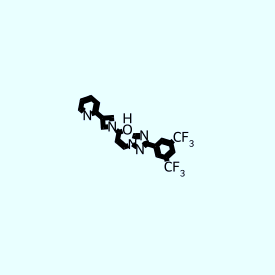 OC(/C=C\n1cnc(-c2cc(C(F)(F)F)cc(C(F)(F)F)c2)n1)N1CC(c2ccccn2)C1